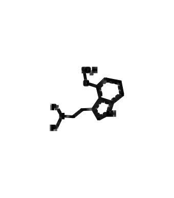 CC(C)N(CCc1c[nH]c2cccc(OS(=O)(=O)O)c12)C(C)C